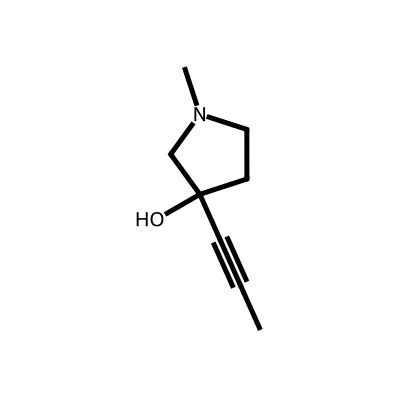 CC#CC1(O)CCN(C)C1